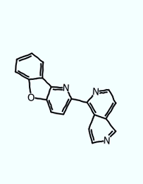 c1ccc2c(c1)oc1ccc(-c3nccc4cnccc34)nc12